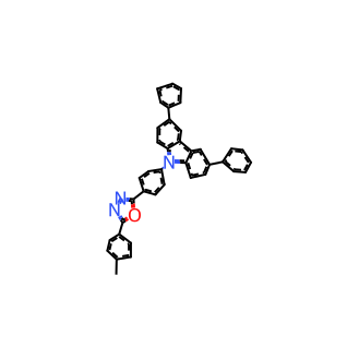 Cc1ccc(-c2nnc(-c3ccc(-n4c5ccc(-c6ccccc6)cc5c5cc(-c6ccccc6)ccc54)cc3)o2)cc1